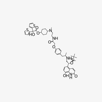 CC(Cc1ccc(OCC(=O)NCCN(C)C2CCC(OC(=O)C(O)(c3cccs3)c3cccs3)CC2)cc1)NC[C@@H](O[Si](C)(C)C(C)(C)C)c1ccc(O)c2[nH]c(=O)ccc12